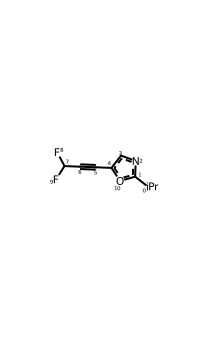 CC(C)c1ncc(C#CC(F)F)o1